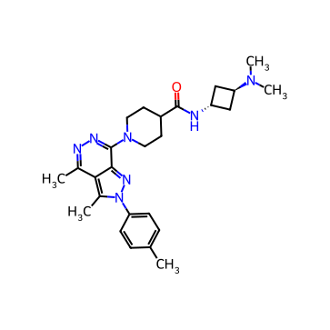 Cc1ccc(-n2nc3c(N4CCC(C(=O)N[C@H]5C[C@H](N(C)C)C5)CC4)nnc(C)c3c2C)cc1